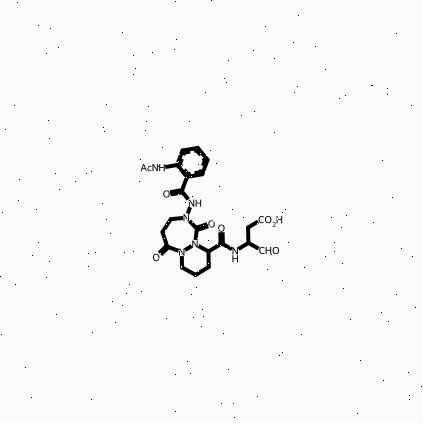 CC(=O)Nc1ccccc1C(=O)NN1CCC(=O)N2CCCC(C(=O)NC(C=O)CC(=O)O)N2C1=O